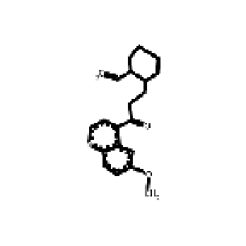 C=CC1CCCCC1CCC(=O)c1ccnc2ccc(OC)cc12